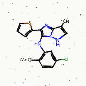 COc1ccc(Cl)cc1Nc1c(-c2cccs2)nc2c(C#N)c[nH]n12